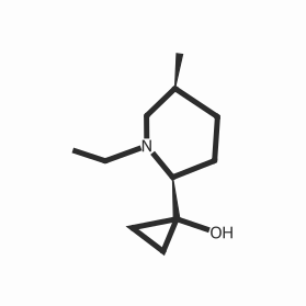 CCN1C[C@@H](C)CC[C@H]1C1(O)CC1